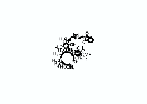 CC[C@H]1OC(=O)[C@H](C)[C@@H](C2C[C@@](C)(OC)[C@@H](O)[C@H](C)O2)[C@H](C)[C@@H](O[C@@H]2O[C@H](C)C[C@H](N(C)CCc3cn(CCN4C(=O)c5ccccc5C4=O)nn3)[C@H]2O)[C@](C)(O)C[C@@H](C)CN(C)[C@H](C)[C@@H](O)[C@]1(C)O